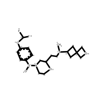 CN(CCC1CN([S+]([O-])c2ccc(OC(F)F)cc2)CCO1)C1CC2(COC2)C1